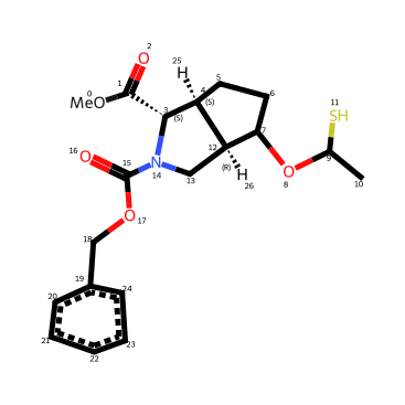 COC(=O)[C@@H]1[C@H]2CCC(OC(C)S)[C@H]2CN1C(=O)OCc1ccccc1